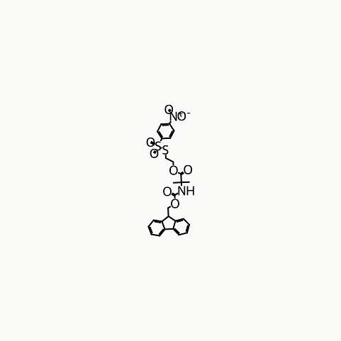 CC(C)(NC(=O)OCC1c2ccccc2-c2ccccc21)C(=O)OCCSS(=O)(=O)c1ccc([N+](=O)[O-])cc1